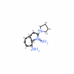 Nc1cccc2cc(N3CCCC3)n(N)c12